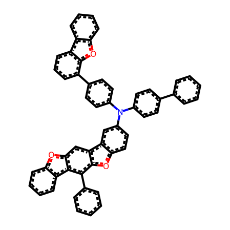 c1ccc(-c2ccc(N(c3ccc(-c4cccc5c4oc4ccccc45)cc3)c3ccc4oc5c(-c6ccccc6)c6c(cc5c4c3)oc3ccccc36)cc2)cc1